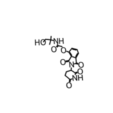 CC(C)(CO)NC(=O)COc1cccc2c1C(=O)N(C1CCC(=O)NC1=O)C2=O